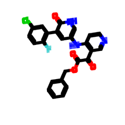 O=C(OCc1ccccc1)C(=O)c1cnccc1Nc1c[nH]c(=O)c(-c2cc(Cl)ccc2F)c1